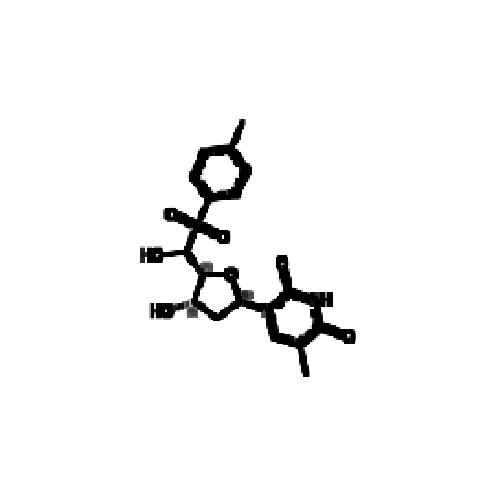 Cc1ccc(S(=O)(=O)C(O)[C@H]2O[C@@H](n3cc(C)c(=O)[nH]c3=O)C[C@@H]2O)cc1